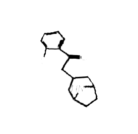 O=C(CC1CC2CCC(C1)N2)c1ccccc1F